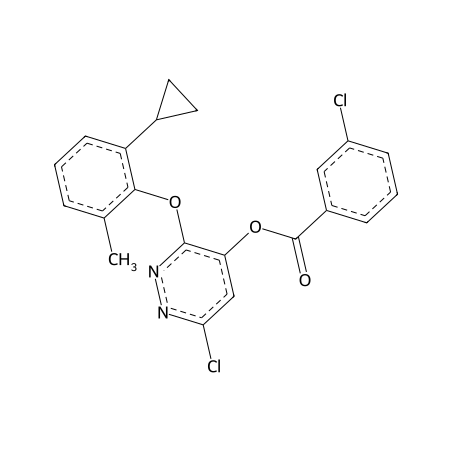 Cc1cccc(C2CC2)c1Oc1nnc(Cl)cc1OC(=O)c1cccc(Cl)c1